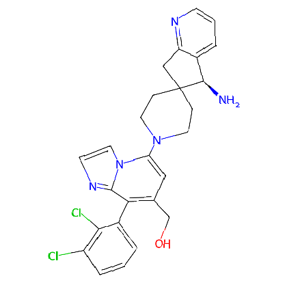 N[C@@H]1c2cccnc2CC12CCN(c1cc(CO)c(-c3cccc(Cl)c3Cl)c3nccn13)CC2